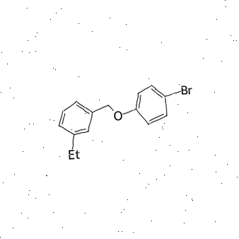 CCc1cccc(COc2ccc(Br)cc2)c1